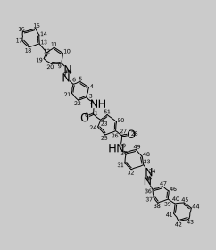 O=C(Nc1ccc(/N=N/c2ccc(-c3ccccc3)cc2)cc1)c1ccc(C(=O)Nc2ccc(/N=N/c3ccc(-c4ccccc4)cc3)cc2)cc1